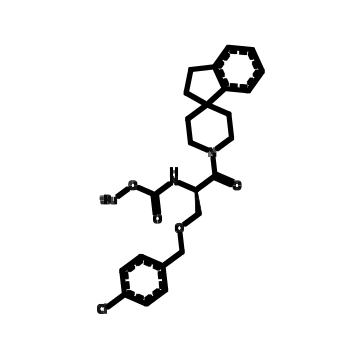 CC(C)(C)OC(=O)N[C@H](COCc1ccc(Cl)cc1)C(=O)N1CCC2(CCc3ccccc32)CC1